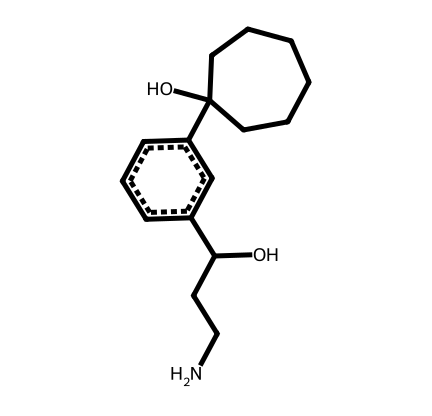 NCCC(O)c1cccc(C2(O)CCCCCC2)c1